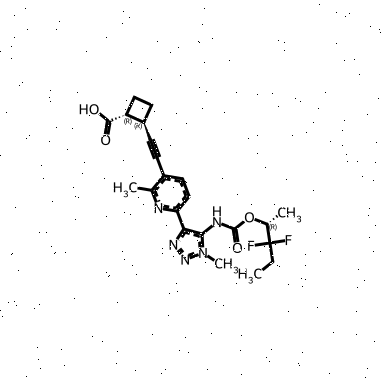 CCC(F)(F)[C@@H](C)OC(=O)Nc1c(-c2ccc(C#C[C@@H]3CC[C@H]3C(=O)O)c(C)n2)nnn1C